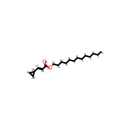 CCCCCCCCCCCCCOC(=O)C=CC1CC1